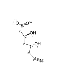 N#CC[C@@H](O)C[C@H](O)CC(=O)O